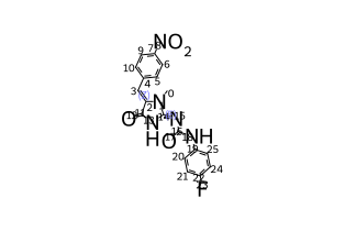 CN1/C(=C\c2ccc([N+](=O)[O-])cc2)C(=O)N/C1=N\C(=O)Nc1ccc(F)cc1